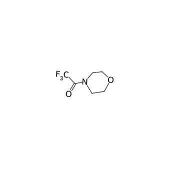 O=C(N1CCOCC1)C(F)(F)F